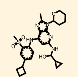 Cc1nc2c(Nc3ccc(C4CCC4)cc3S(C)(=O)=O)cc(NC(O)C3CC3)nc2n1C1CCCCO1